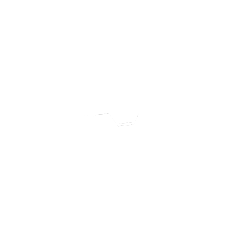 O=S(=O)(O)/C=C\CS(=O)(=O)O